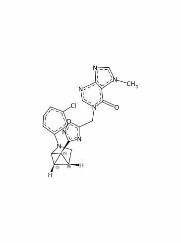 Cn1cnc2ncn(Cc3nc([C@]45C6[C@H]4[C@H]5CN6c4cccc(Cl)c4)no3)c(=O)c21